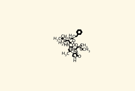 CON(C)C(=O)[C@H](C[C@@H]1CCNC1=O)NC(=O)[C@H](CC(C)C)NC(=O)[C@@H](NC(=O)OCc1ccccc1)C(C)OC(C)(C)C